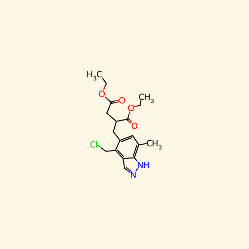 CCOC(=O)CC(Cc1cc(C)c2[nH]ncc2c1CCl)C(=O)OCC